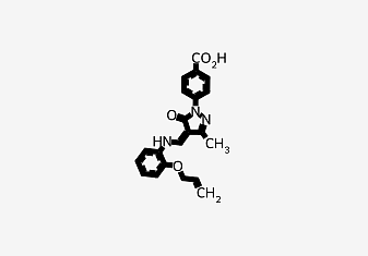 C=CCOc1ccccc1N/C=C1\C(=O)N(c2ccc(C(=O)O)cc2)N=C1C